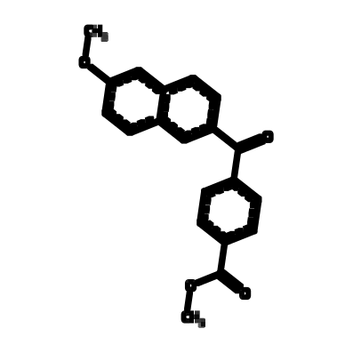 COC(=O)c1ccc(C(=O)c2ccc3cc(OC)ccc3c2)cc1